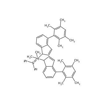 Cc1cc(C)c(C)c(-c2cccc3c2C=C[CH]3[Hf]([CH3])([CH3])([CH]2C=Cc3c(-c4c(C)c(C)cc(C)c4C)cccc32)=[Si](C(C)C)C(C)C)c1C